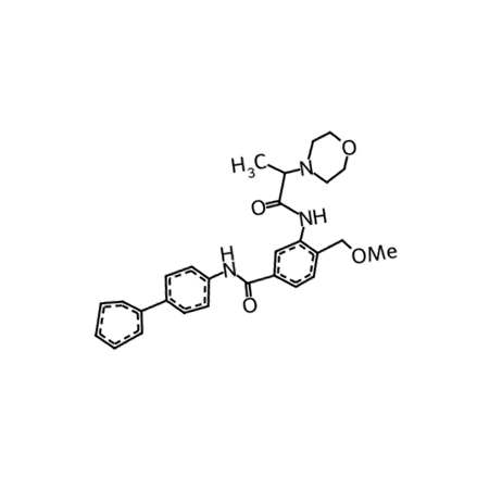 COCc1ccc(C(=O)Nc2ccc(-c3ccccc3)cc2)cc1NC(=O)C(C)N1CCOCC1